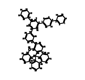 c1ccc(-c2ccc(-c3nc(-c4ccccc4)nc(-c4cccc(-c5cccc6c5Oc5ccccc5C6(c5ccccc5)c5ccccc5)c4)n3)cc2)cc1